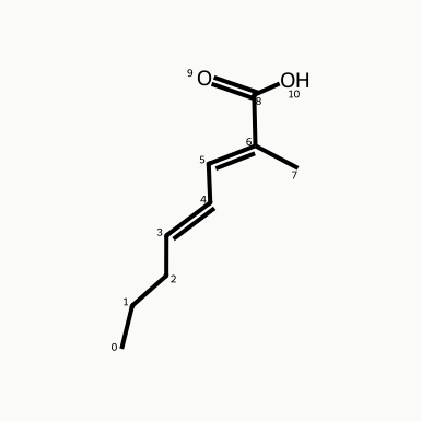 CCC/C=C/C=C(\C)C(=O)O